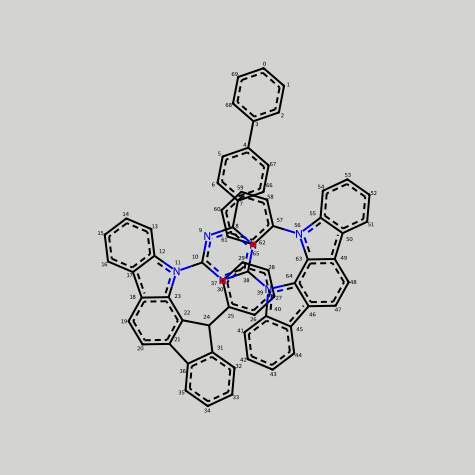 c1ccc(-c2ccc(-c3nc(-n4c5ccccc5c5ccc6c(c54)C(c4ccccc4)c4ccccc4-6)nc(-n4c5ccccc5c5ccc6c7ccccc7n(-c7ccccc7)c6c54)n3)cc2)cc1